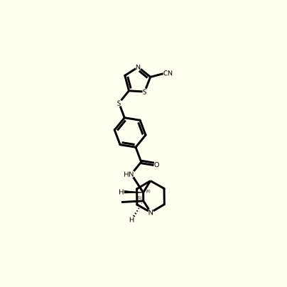 C[C@H]1[C@H](NC(=O)c2ccc(Sc3cnc(C#N)s3)cc2)C2CCN1CC2